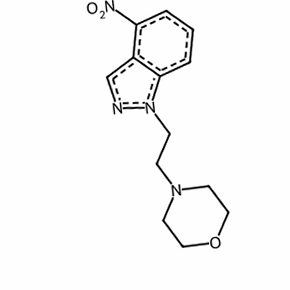 O=[N+]([O-])c1cccc2c1cnn2CCN1CCOCC1